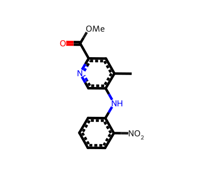 COC(=O)c1cc(C)c(Nc2ccccc2[N+](=O)[O-])cn1